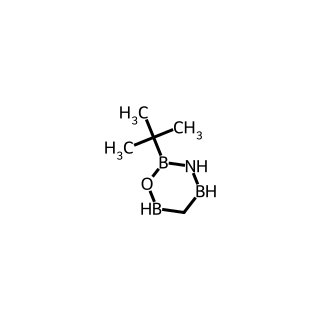 CC(C)(C)B1NBCBO1